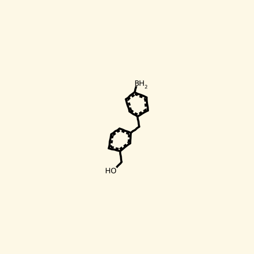 Bc1ccc(Cc2cccc(CO)c2)cc1